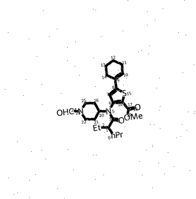 CCCC(CC)C(=O)N(c1cc(C2=CCCCC2)sc1C(=O)OC)C1CCN(C=O)CC1